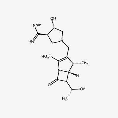 CNC(=N)[C@@H]1CN(CC2=C(C(=O)O)N3C(=O)C([C@@H](C)O)[C@H]3[C@H]2C)C[C@H]1O